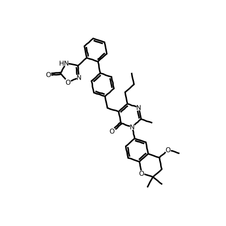 CCCc1nc(C)n(-c2ccc3c(c2)C(OC)CC(C)(C)O3)c(=O)c1Cc1ccc(-c2ccccc2-c2noc(=O)[nH]2)cc1